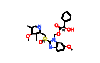 COc1ccc2nc([S@+]([O-])Cc3ncc(C)c(OC)c3C)n(COC(=O)[C@H](O)c3ccccc3)c2c1